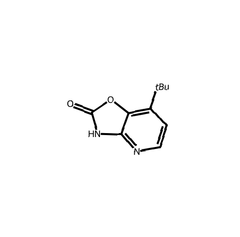 CC(C)(C)c1ccnc2[nH]c(=O)oc12